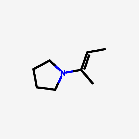 CC=C(C)N1CCCC1